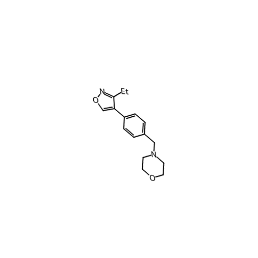 CCc1nocc1-c1ccc(CN2CCOCC2)cc1